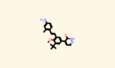 COc1c(/C=C/c2ccc(N)cc2C)cc(-c2ccn[nH]c2=O)cc1C(C)(C)C